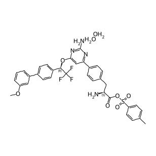 COc1cccc(-c2ccc([C@@H](Oc3cc(-c4ccc(C[C@H](N)C(=O)OS(=O)(=O)c5ccc(C)cc5)cc4)nc(N)n3)C(F)(F)F)cc2)c1.O.O